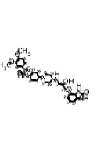 COc1ccc(S(=O)(=O)Nc2ccc(N3CCC(NC[C@H](O)COc4cccc5[nH]c(=O)[nH]c45)CC3)cc2)cc1OC